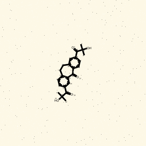 CC(C)(O)C(=O)c1ccc2c(c1)CCc1ccc(C(=O)C(C)(C)O)cc1C2=O